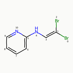 BrC(Br)=CNc1ccccn1